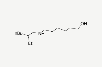 CCCCC(CC)CNCCCCCCO